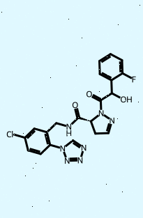 O=C(NCc1cc(Cl)ccc1-n1cnnn1)[C@@H]1CC=NN1C(=O)C(O)c1ccccc1F